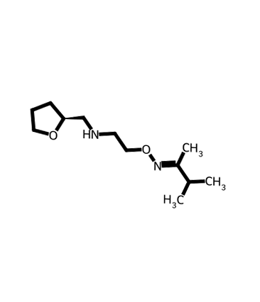 C/C(=N\OCCNC[C@@H]1CCCO1)C(C)C